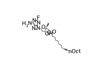 C#C[C@]1(COC(=O)CCCCCCCC#CCCCCCCCC)O[C@@H](n2cnc3c(N)nc(F)nc32)C[C@@H]1O